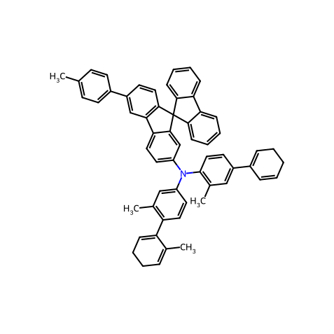 CC1=CCCC=C1c1ccc(N(c2ccc3c(c2)C2(c4ccccc4-c4ccccc42)c2ccc(-c4ccc(C)cc4)cc2-3)c2ccc(C3=CCCC=C3)cc2C)cc1C